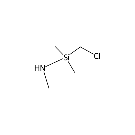 CN[Si](C)(C)CCl